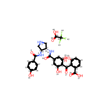 O=C(N[C@H]1CNC[C@@H]1NC(=O)c1cc(O)c(C(=O)c2c(O)cccc2C(=O)O)c(O)c1)c1ccc(O)cc1.O=C(O)C(F)(F)F